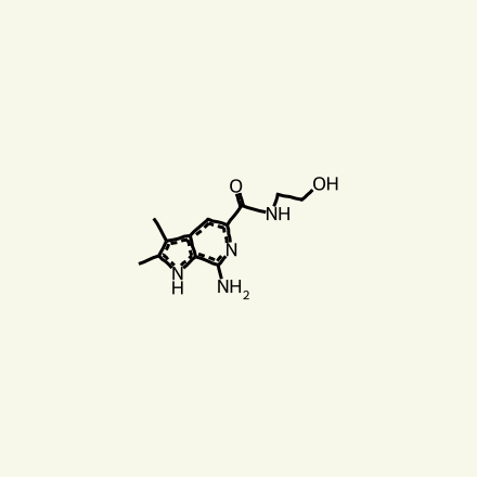 Cc1[nH]c2c(N)nc(C(=O)NCCO)cc2c1C